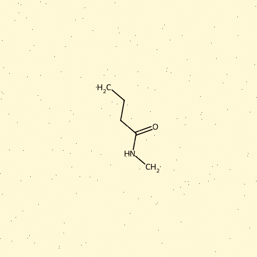 [CH2]CCC(=O)N[CH2]